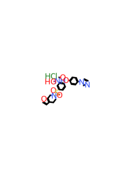 Cl.O=CNO.O=S(=O)(c1ccc(Oc2ccc(-n3ccnc3)cc2)cc1)N1CCc2ccoc2C1